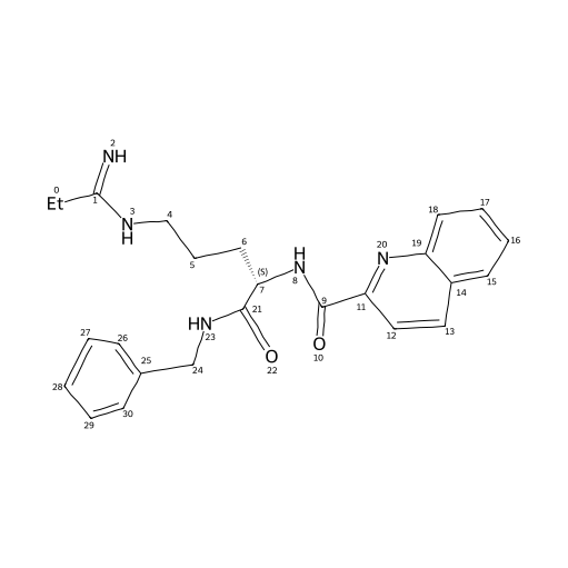 CCC(=N)NCCC[C@H](NC(=O)c1ccc2ccccc2n1)C(=O)NCc1ccccc1